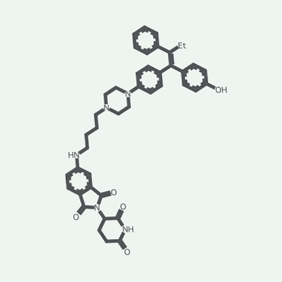 CC/C(=C(\c1ccc(O)cc1)c1ccc(N2CCN(CCCCNc3ccc4c(c3)C(=O)N(C3CCC(=O)NC3=O)C4=O)CC2)cc1)c1ccccc1